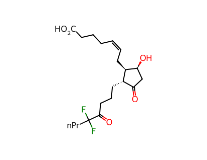 CCCC(F)(F)C(=O)CCC[C@H]1C(=O)C[C@H](O)[C@@H]1C/C=C\CCCC(=O)O